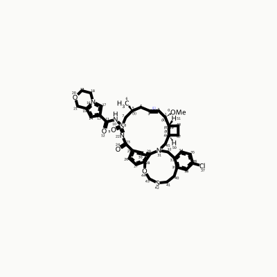 CO[C@H]1/C=C/C[C@H](C)CS(=O)(NC(=O)c2cc3n(c2)CCOC3)=NC(=O)c2ccc3c(c2)N(Cc2ccc(Cl)cc2CCSCO3)C[C@@H]2CC[C@H]21